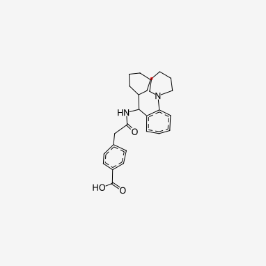 O=C(Cc1ccc(C(=O)O)cc1)NC(c1ccccc1N1CCCCC1)C1CCCCC1